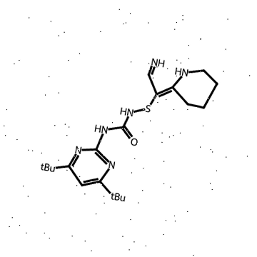 CC(C)(C)c1cc(C(C)(C)C)nc(NC(=O)NS/C(C=N)=C2\CCCCN2)n1